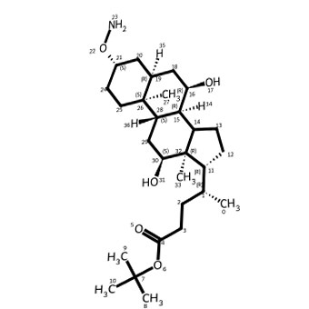 C[C@H](CCC(=O)OC(C)(C)C)[C@H]1CCC2[C@@H]3[C@H](O)C[C@@H]4C[C@@H](ON)CC[C@]4(C)[C@H]3C[C@H](O)[C@@]21C